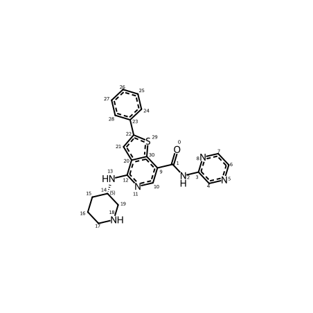 O=C(Nc1cnccn1)c1cnc(N[C@H]2CCCNC2)c2cc(-c3ccccc3)sc12